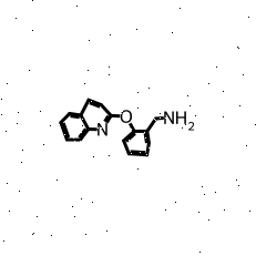 NCc1ccccc1Oc1ccc2ccccc2n1